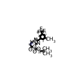 Cc1cc(-c2ncn(/C=C\C(=O)OC(=O)OCC(C)C)n2)cc(C(F)(F)F)c1